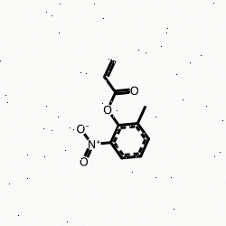 C=CC(=O)Oc1c(C)cccc1[N+](=O)[O-]